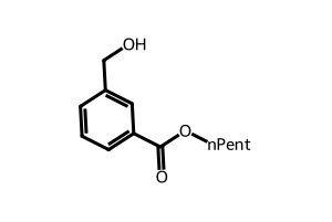 CCCCCOC(=O)c1cccc(CO)c1